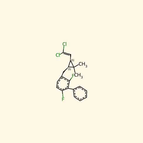 CC1(C)[C@H](C=C(Cl)Cl)[C@@H]1Cc1ccc(F)c(-c2ccccc2)c1F